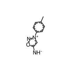 Cc1ccc(-[n+]2cc([NH-])on2)cc1